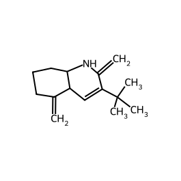 C=C1NC2CCCC(=C)C2C=C1C(C)(C)C